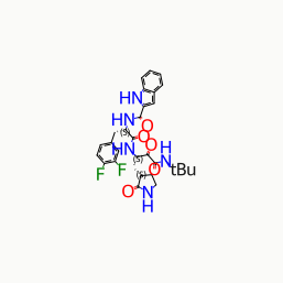 CC(C)(C)NC(=O)C(=O)[C@H](C[C@@H]1CCNC1=O)NC(=O)[C@H](Cc1ccc(F)c(F)c1)NC(=O)c1cc2ccccc2[nH]1